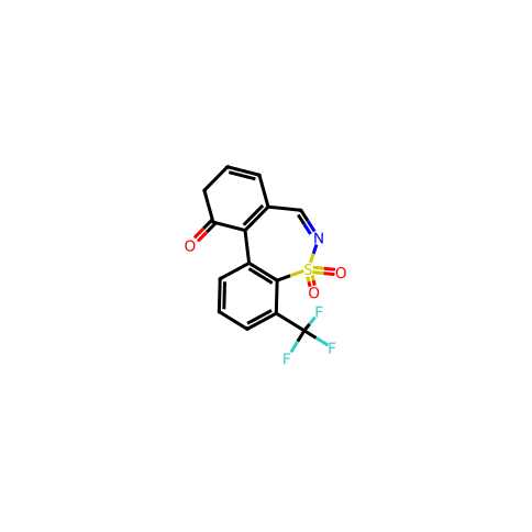 O=C1CC=CC2=C1c1cccc(C(F)(F)F)c1S(=O)(=O)N=C2